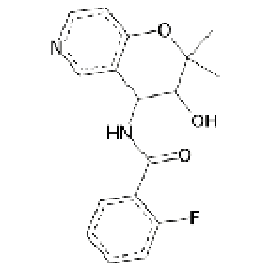 CC1(C)Oc2ccncc2C(NC(=O)c2ccccc2F)C1O